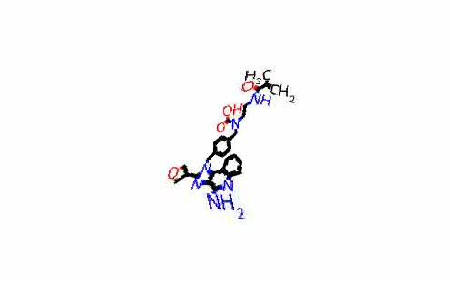 C=C(C)C(=O)NCCN(Cc1ccc(Cn2c(C3COC3)nc3c(N)nc4ccccc4c32)cc1)C(=O)O